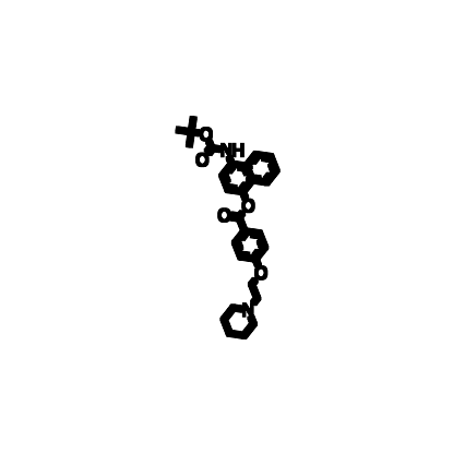 CC(C)(C)OC(=O)Nc1ccc(OC(=O)c2ccc(OCCN3CCCCC3)cc2)c2ccccc12